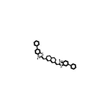 CN1/C(=C/C2=CC3=C/C(=C/c4sc5cc(-c6ccccc6)ccc5[n+]4C)CCC3CC2)Sc2cc(-c3ccccc3)ccc21